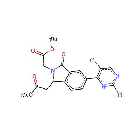 COC(=O)CC1c2ccc(-c3nc(Cl)ncc3Cl)cc2C(=O)N1CC(=O)OC(C)(C)C